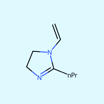 C=CN1CCN=C1CCC